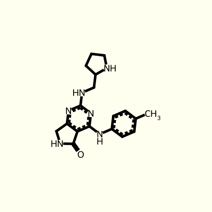 Cc1ccc(Nc2nc(NCC3CCCN3)nc3c2C(=O)NC3)cc1